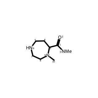 CNC(=O)C1CCNCCN1C